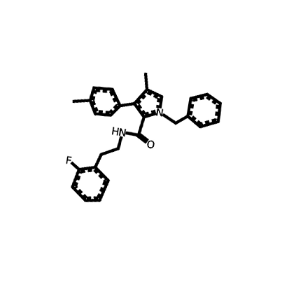 Cc1ccc(-c2c(C)cn(Cc3ccccc3)c2C(=O)NCCc2ccccc2F)cc1